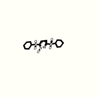 O=S(=O)(c1ccc(S(=O)(=O)C2CCCCC2)[n+]([O-])n1)C1CCCCC1